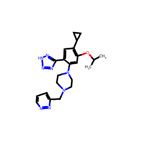 CC(C)Oc1cc(N2CCN(Cc3cccnn3)CC2)c(-c2nn[nH]n2)cc1C1CC1